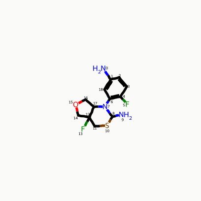 Nc1ccc(F)c(N2C(N)SCC3(F)COCC23)c1